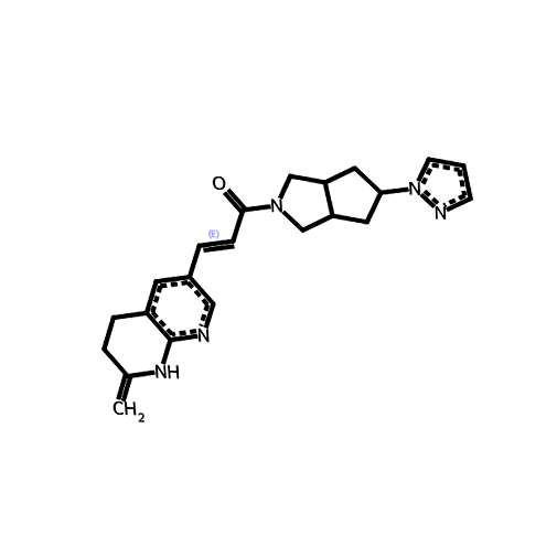 C=C1CCc2cc(/C=C/C(=O)N3CC4CC(n5cccn5)CC4C3)cnc2N1